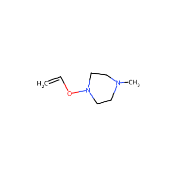 C=CON1CCN(C)CC1